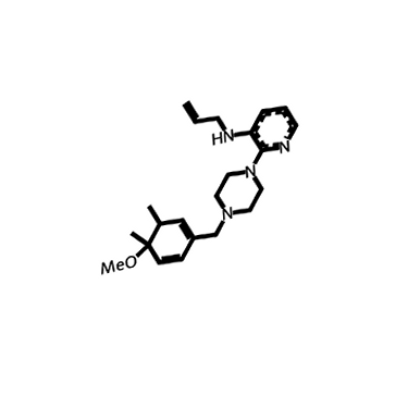 C=CCNc1cccnc1N1CCN(CC2=CC(C)C(C)(OC)C=C2)CC1